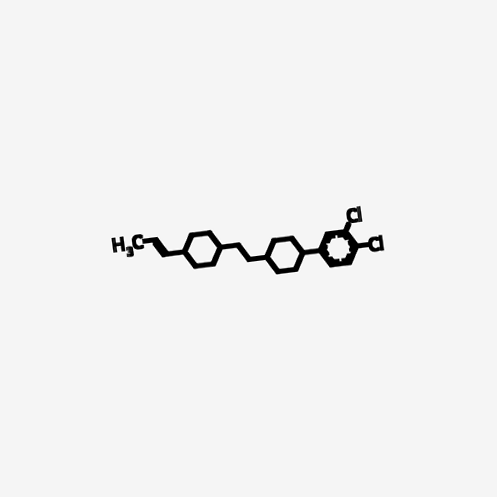 CC=CC1CCC(CCC2CCC(c3ccc(Cl)c(Cl)c3)CC2)CC1